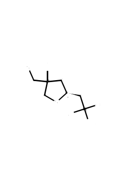 CC(C)(C)C[C@@H]1CC(O)(CN)CN1